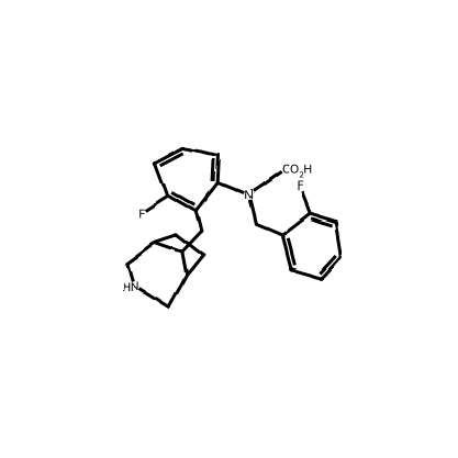 O=C(O)N(Cc1ccccc1F)c1cccc(F)c1CC1C2CCC1CNC2